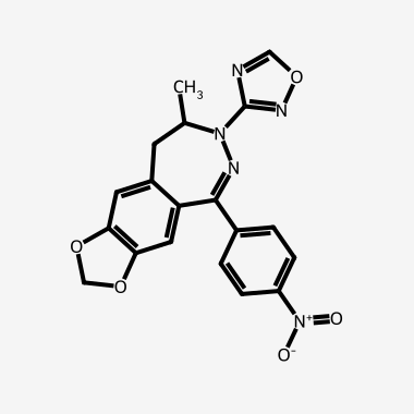 CC1Cc2cc3c(cc2C(c2ccc([N+](=O)[O-])cc2)=NN1c1ncon1)OCO3